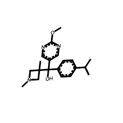 COc1ncc(C(O)(c2ccc(C(C)C)cc2)C2(C)CN(C)C2)cn1